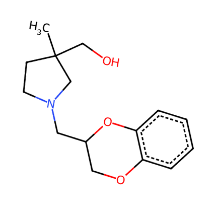 CC1(CO)CCN(CC2COc3ccccc3O2)C1